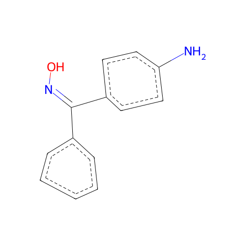 Nc1ccc(/C(=N\O)c2ccccc2)cc1